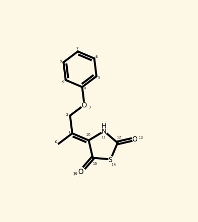 CC(COc1ccccc1)=C1NC(=O)SC1=O